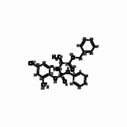 C[C@H](NP(=O)(Oc1ccccc1)Oc1ccc(Cl)cc1C(F)(F)F)C(=O)OCc1ccccc1